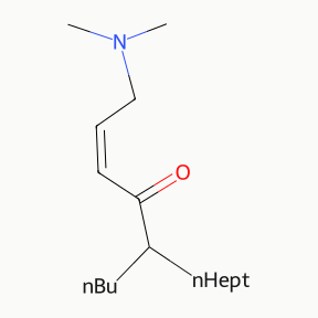 CCCCCCCC(CCCC)C(=O)/C=C\CN(C)C